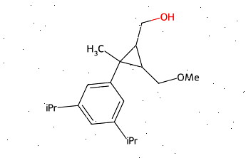 COCC1C(CO)C1(C)c1cc(C(C)C)cc(C(C)C)c1